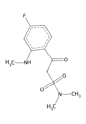 CNc1cc(F)ccc1C(=O)CS(=O)(=O)N(C)C